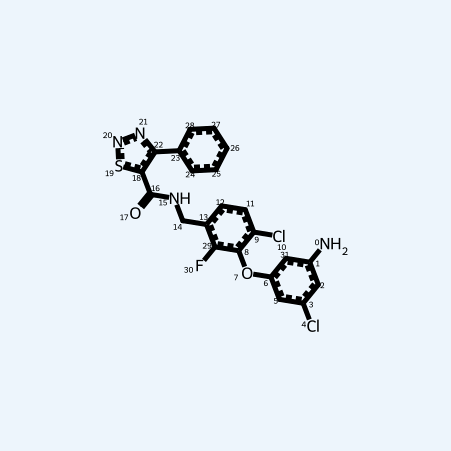 Nc1cc(Cl)cc(Oc2c(Cl)ccc(CNC(=O)c3snnc3-c3ccccc3)c2F)c1